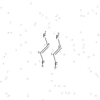 F/C=C/F.F/C=C/F